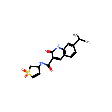 CC(C)c1ccc2cc(C(=O)NC3C=CS(=O)(=O)C3)c(=O)[nH]c2c1